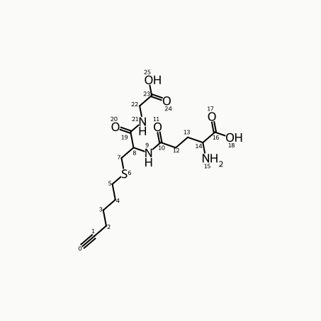 C#CCCCCSCC(NC(=O)CCC(N)C(=O)O)C(=O)NCC(=O)O